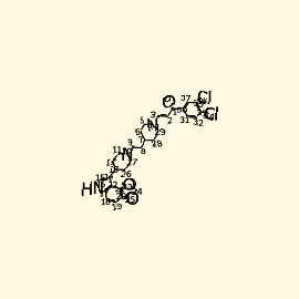 O=C(/C=C/N1CCC(CCN2CCC(c3c[nH]c4ccc5c(c34)OCO5)CC2)CC1)c1ccc(Cl)c(Cl)c1